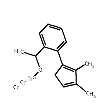 CC1=CCC(c2ccccc2C(C)[O][Ti+2])=C1C.[Cl-].[Cl-]